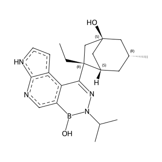 CC[C@@]1(C2=NN(C(C)C)B(O)c3cnc4[nH]ccc4c32)C[C@]2(O)C[C@H](C)C[C@H]1C2